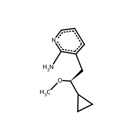 CO[C@@H](Cc1cccnc1N)C1CC1